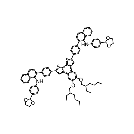 CCCCC(CC)COc1cc2c(cc1OCC(CC)CCCC)c1cc(-c3ccc(-c4ccc5ccccc5c4Nc4ccc(C5OCCO5)cc4)cc3)sc1c1sc(-c3ccc(-c4ccc5ccccc5c4Nc4ccc(C5OCCO5)cc4)cc3)cc21